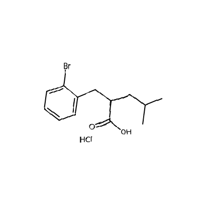 CC(C)CC(Cc1ccccc1Br)C(=O)O.Cl